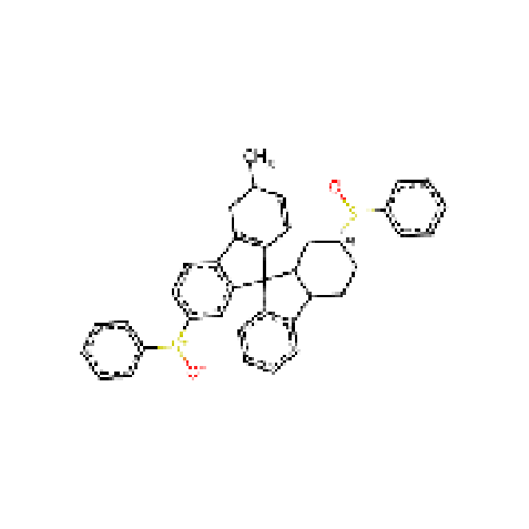 CC1C=CC2=C(C1)c1ccc([S+]([O-])c3ccccc3)cc1C21c2ccccc2C2CC[C@@H]([S+]([O-])c3ccccc3)CC21